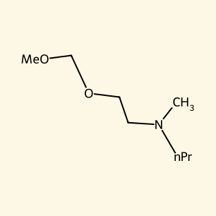 CCCN(C)CCOCOC